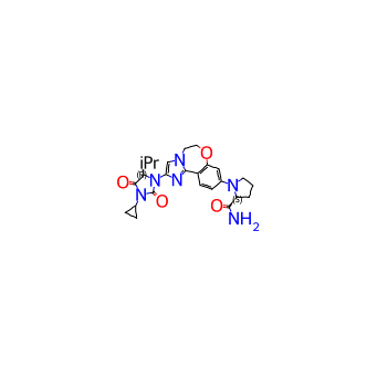 CC(C)[C@@H]1C(=O)N(C2CC2)C(=O)N1c1cn2c(n1)-c1ccc(N3CCC[C@H]3C(N)=O)cc1OCC2